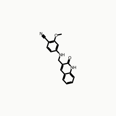 COc1cc(NCc2cc3ccccc3[nH]c2=O)ccc1C#N